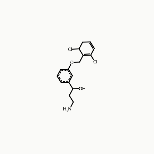 NCCC(O)c1cccc(OCC2=C(Cl)C=CCC2Cl)c1